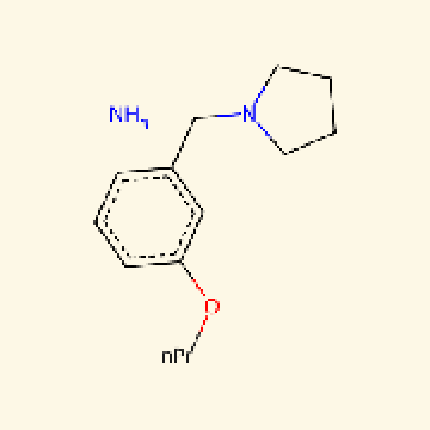 CCCOc1cccc(CN2CCCC2)c1.N